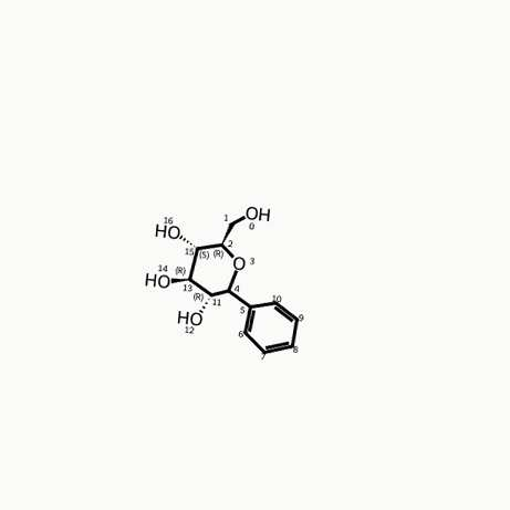 OC[C@H]1OC(c2ccccc2)[C@H](O)[C@@H](O)[C@@H]1O